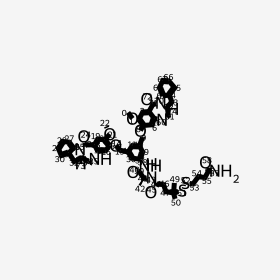 COc1cc2c(cc1OCc1cc(COc3cc4c(cc3OC)C(=O)N3c5ccccc5C[C@H]3CN4)cc(NC(=O)[C@H](C)NC(=O)CCC(C)(C)SSCCCC(N)=O)c1)N=C[C@@H]1Cc3ccccc3N1C2=O